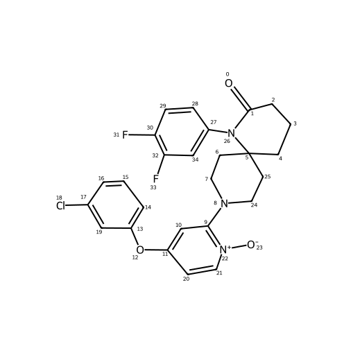 O=C1CCCC2(CCN(c3cc(Oc4cccc(Cl)c4)cc[n+]3[O-])CC2)N1c1ccc(F)c(F)c1